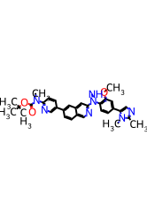 COc1cc(-c2cnc(C)n2C)ccc1N(N)c1cc2cc(-c3ccc(N(C)C(=O)OC(C)(C)C)nc3)ccc2cn1